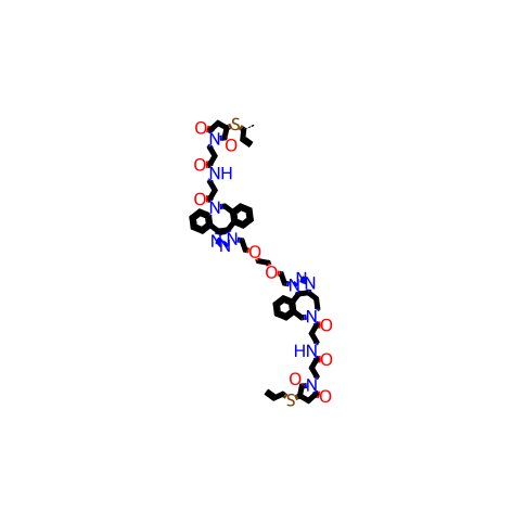 C=CCSC1CC(=O)N(CCC(=O)NCCC(=O)N2CCC3N=NN(CCOCCOCCn4nnc5c4-c4ccccc4CN(C(=O)CCNC(=O)CCN4C(=O)CC(S[C@H](C)C=C)C4=O)c4ccccc4-5)C3c3ccccc3C2)C1=O